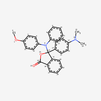 CCOc1ccc(N(c2ccccc2)C2(c3ccc(N(C)C)cc3)OC(=O)c3ccccc32)cc1